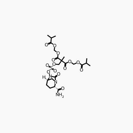 CC(C)C(=O)OCOC(=O)C(C)(COS(=O)(=O)ON1C(=O)N2C[C@H]1CC[C@H]2C(N)=O)C(=O)OCOC(=O)C(C)C